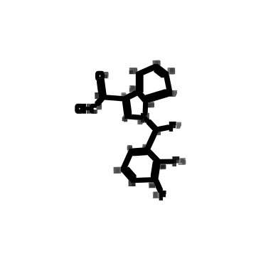 O=CC(=O)c1cn(C(F)c2cccc(F)c2F)c2ccccc12